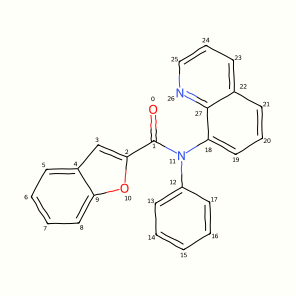 O=C(c1cc2ccccc2o1)N(c1ccccc1)c1cccc2cccnc12